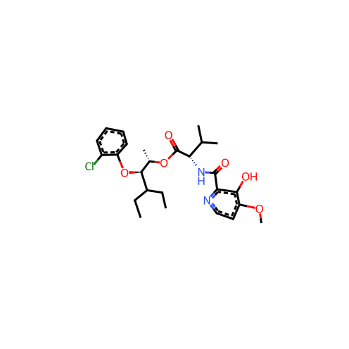 CCC(CC)[C@@H](Oc1ccccc1Cl)[C@H](C)OC(=O)[C@@H](NC(=O)c1nccc(OC)c1O)C(C)C